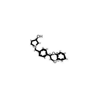 OC1CCN(Cc2ccc(C3COc4ccccc4O3)cc2)C1